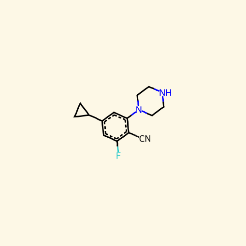 N#Cc1c(F)cc(C2CC2)cc1N1CCNCC1